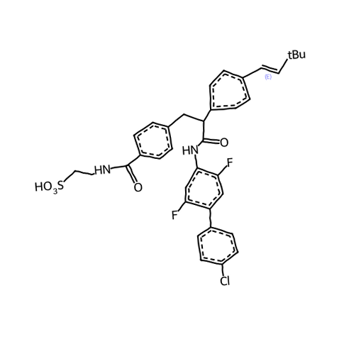 CC(C)(C)/C=C/c1ccc(C(Cc2ccc(C(=O)NCCS(=O)(=O)O)cc2)C(=O)Nc2cc(F)c(-c3ccc(Cl)cc3)cc2F)cc1